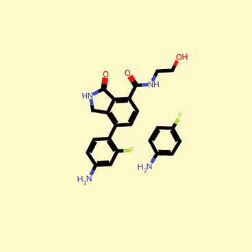 Nc1ccc(-c2ccc(C(=O)NCCO)c3c2CNC3=O)c(F)c1.Nc1ccc(F)cc1